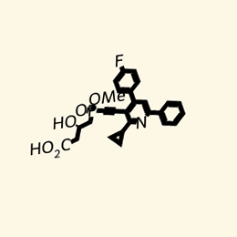 COP(=O)(C#Cc1c(-c2ccc(F)cc2)cc(-c2ccccc2)nc1C1CC1)C[C@@H](O)CC(=O)O